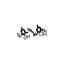 Cc1cc(Br)c(O)c(CN(C)CCCN(C)Cc2cc(C)cc(Br)c2O)c1